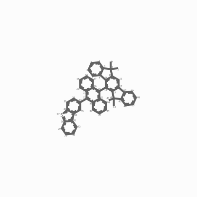 CC1(C)c2ccccc2-c2c1cc1c(c2-c2c3ccccc3c(-c3ccc4sc5ccccc5c4c3)c3ccccc23)C(C)(C)c2ccccc2-1